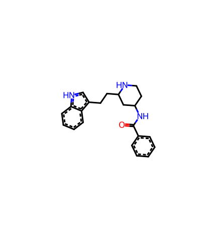 O=C(NC1CCNC(CCc2c[nH]c3ccccc23)C1)c1ccccc1